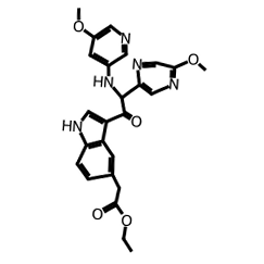 CCOC(=O)Cc1ccc2[nH]cc(C(=O)C(Nc3cncc(OC)c3)c3cnc(OC)cn3)c2c1